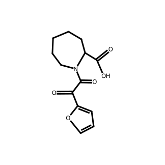 O=C(C(=O)N1CCCCCC1C(=O)O)c1ccco1